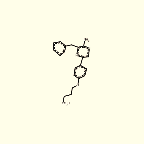 Nc1ncc(-c2ccc(OCCCC(=O)O)cc2)nc1Cc1ccccc1